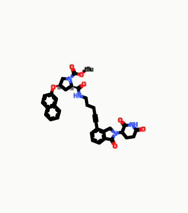 CC(C)(C)OC(=O)N1C[C@@H](Oc2ccc3ccccc3c2)C[C@H]1C(=O)NCCCC#Cc1cccc2c1CN(C1CCC(=O)NC1=O)C2=O